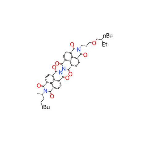 CCCCC(CC)COCCCN1C(=O)c2ccc3c4c(ccc(c24)C1=O)C(=O)N(N1C(=O)c2ccc4c5c(ccc(c25)C1=O)C(=O)N(C(C)CCC(C)CC)C4=O)C3=O